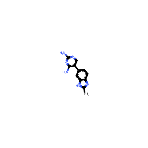 Cc1nc2ccc(-c3cnc(N)nc3N)cc2[nH]1